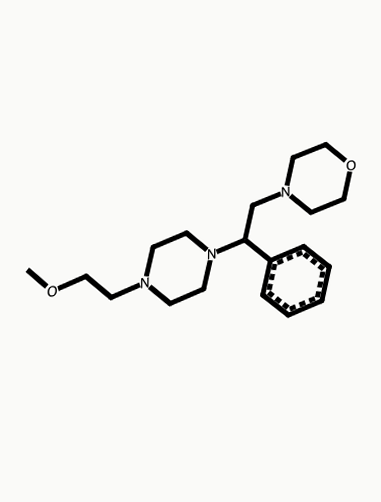 COCCN1CCN(C(CN2CCOCC2)c2ccccc2)CC1